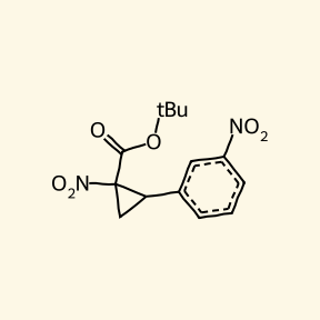 CC(C)(C)OC(=O)C1([N+](=O)[O-])CC1c1cccc([N+](=O)[O-])c1